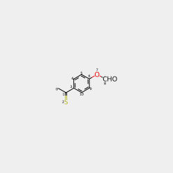 CC(=S)c1ccc(OC=O)cc1